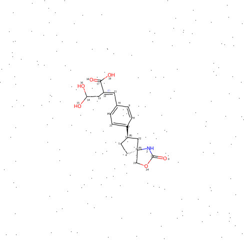 O=C1N[C@@]2(CC[C@@H](c3ccc(/C=C(\CC(O)O)C(=O)O)cc3)C2)CO1